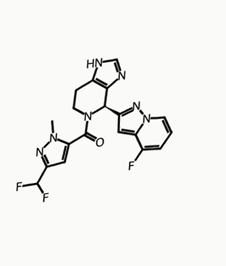 Cn1nc(C(F)F)cc1C(=O)N1CCc2[nH]cnc2[C@H]1c1cc2c(F)cccn2n1